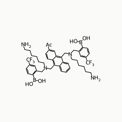 CC(=O)c1ccc2c(CN(CCCCCCN)Cc3cc(C(F)(F)F)ccc3B(O)O)c3ccccc3c(CN(CCCCCCN)Cc3cc(C(F)(F)F)ccc3B(O)O)c2c1